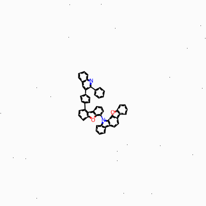 c1ccc(-c2nc3ccccc3cc2-c2ccc(-c3cccc4oc5c(-n6c7ccccc7c7ccc8c9ccccc9oc8c76)cccc5c34)cc2)cc1